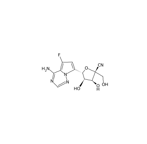 N#C[C@]1(CO)O[C@@H](c2cc(F)c3c(N)ncnn23)[C@H](O)[C@@H]1O